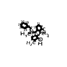 Cc1cccc(Pc2c(C)cccc2CN(C)Cc2ccccc2)c1O